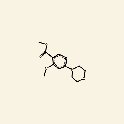 COC(=O)c1ccc(N2CCOCC2)cc1OC